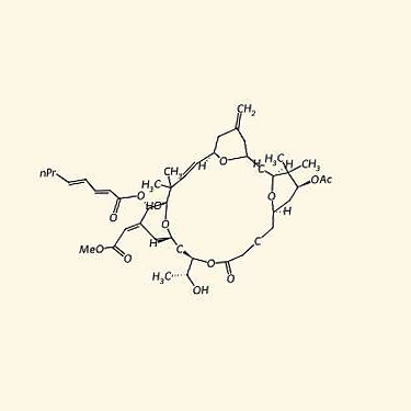 C=C1C[C@H]2C[C@@H]3O[C@H](CCCC(=O)O[C@@H]([C@@H](C)O)C[C@@H]4C/C(=C\C(=O)OC)[C@H](OC(=O)/C=C/C=C/CCC)[C@@](O)(O4)C(C)(C)/C=C/[C@@H](C1)O2)C[C@H](OC(C)=O)C3(C)C